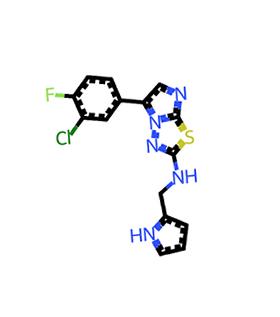 Fc1ccc(-c2cnc3sc(NCc4ccc[nH]4)nn23)cc1Cl